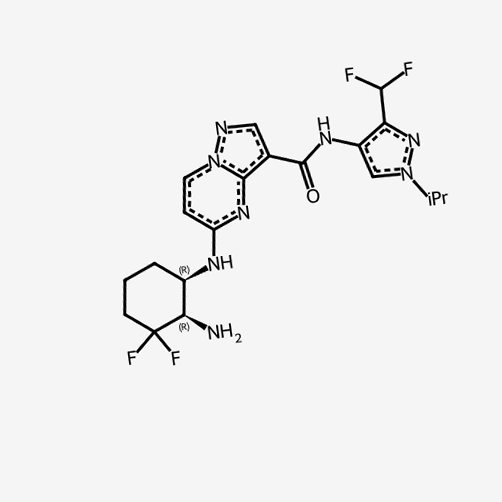 CC(C)n1cc(NC(=O)c2cnn3ccc(N[C@@H]4CCCC(F)(F)[C@@H]4N)nc23)c(C(F)F)n1